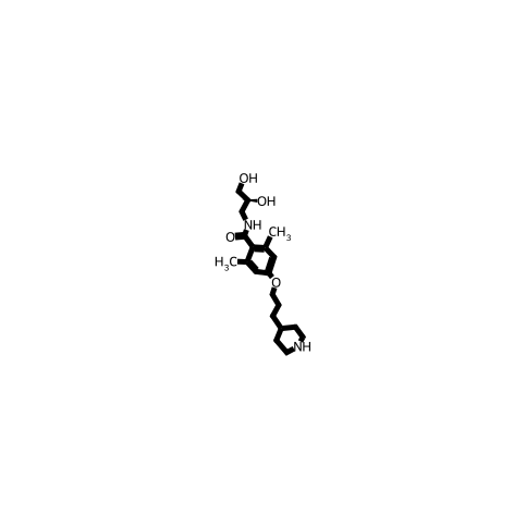 Cc1cc(OCCCC2CCNCC2)cc(C)c1C(=O)NC[C@H](O)CO